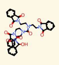 O=C(N(CCN1C(=O)c2ccccc2C1=O)CCN1C(=O)c2ccccc2C1=O)N(CCN1C(=O)c2ccccc2C1=O)CCN1C(=O)c2ccccc2C1O